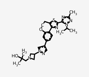 Cc1nc(-c2nc3c(s2)CCOc2cc(-c4cnn(C5CN(CC(C)(C)O)C5)c4)ccc2-3)n(C(C)C)n1